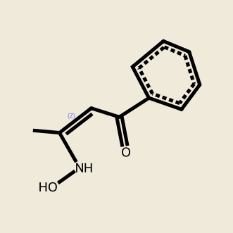 C/C(=C/C(=O)c1ccccc1)NO